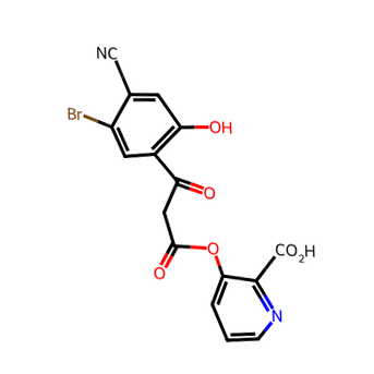 N#Cc1cc(O)c(C(=O)CC(=O)Oc2cccnc2C(=O)O)cc1Br